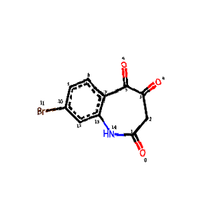 O=C1CC(=O)C(=O)c2ccc(Br)cc2N1